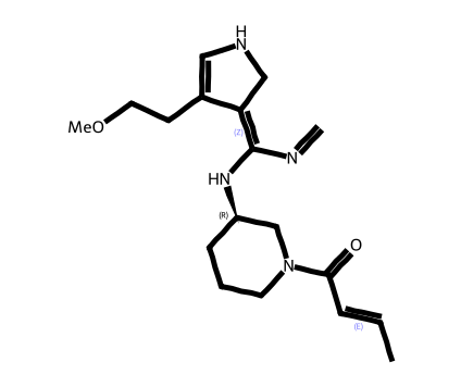 C=N/C(N[C@@H]1CCCN(C(=O)/C=C/C)C1)=C1\CNC=C1CCOC